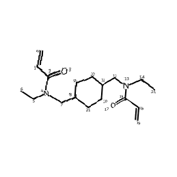 C=CC(=O)N(CC)CC1CCC(CN(CC)C(=O)C=C)CC1